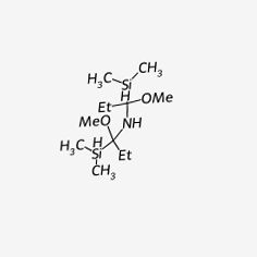 CCC(NC(CC)(OC)[SiH](C)C)(OC)[SiH](C)C